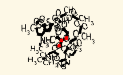 CCN[C@@H]1C[C@@H](C)S(=O)(=O)c2sc(S(=O)(=O)NC(=O)C(C)OC(=O)C(C)OC(=O)C(C)OC(=O)C(C)OC(=O)C(C)OC(=O)CCCC(=O)OC(CNC(C)(C)C)COc3nsnc3N3CCOCC3)cc21